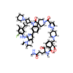 C=CN(c1c(C)cc(-c2ccc3c(c2)N(C2CC(N4CCCCC4)C2)C(=O)C32CCN(C(=O)c3ccn(C4CCN(Cc5cccc(C(=O)N(C)C(C=O)CCC(=O)NC)c5C=O)CC4)n3)CC2)nc1Nc1cc(C(C)C)c(C)cc1F)C(C)C